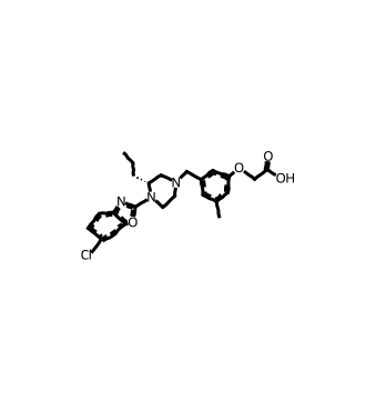 CCC[C@@H]1CN(Cc2cc(C)cc(OCC(=O)O)c2)CCN1c1nc2ccc(Cl)cc2o1